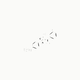 Cc1cccc(C(=O)NS(=O)(=O)c2ccc(C(C)(C)C)cc2)c1